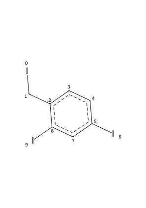 ICc1ccc(I)cc1I